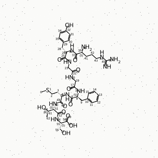 CSCC[C@H](NC(=O)[C@H](Cc1ccccc1)NC(=O)CNC(=O)CNC(=O)[C@H](Cc1ccc(O)cc1)NC(=O)[C@@H](N)CCCNC(=N)N)C(=O)N[C@H](C(=O)N[C@@H](CO)C(=O)O)[C@@H](C)O